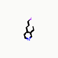 C/C=c1/cncc/c1=C/C=C/I